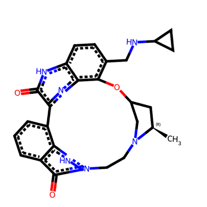 C[C@@H]1CC2CN1CCn1[nH]c3c(cccc3c1=O)-c1nc3c(c(CNC4CC4)ccc3[nH]c1=O)O2